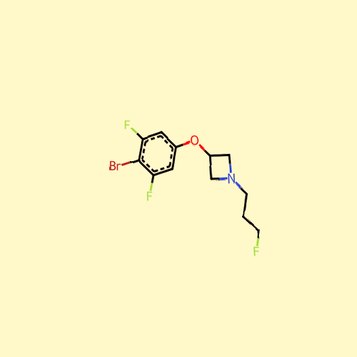 FCCCN1CC(Oc2cc(F)c(Br)c(F)c2)C1